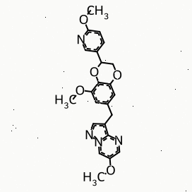 COc1cnc2c(Cc3cc(OC)c4c(c3)OCC(c3ccc(OC)nc3)O4)cnn2c1